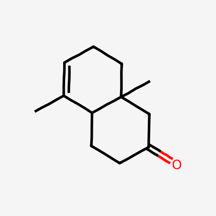 CC1=CCCC2(C)CC(=O)CCC12